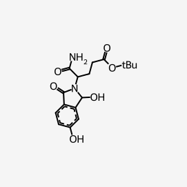 CC(C)(C)OC(=O)CCC(C(N)=O)N1C(=O)c2ccc(O)cc2C1O